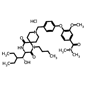 CCCCN1C(=O)[C@@H]([C@H](O)C(CC)CC)NC(=O)C12CCN(Cc1ccc(Oc3ccc(C(=O)N(C)C)cc3OC)cc1)CC2.Cl